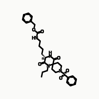 CCCN1C(=O)[C@H](CCCCNC(=O)OCc2ccccc2)NC(=O)C12CCN(S(=O)(=O)c1ccccc1)CC2